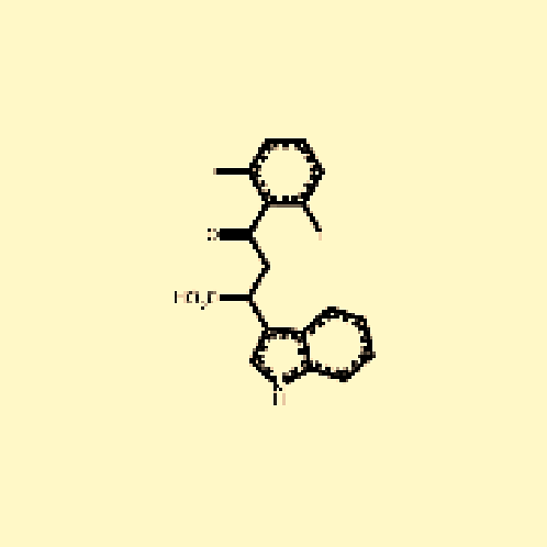 O=C(CC(C(=O)O)c1c[nH]c2ccccc12)c1c(I)cccc1I